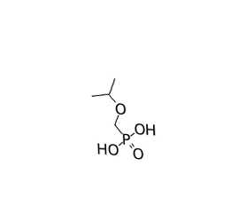 CC(C)OCP(=O)(O)O